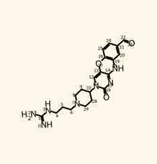 N=C(N)NCCCN1CCC(n2cc3c(nc2=O)Nc2cc(C=O)ccc2O3)CC1